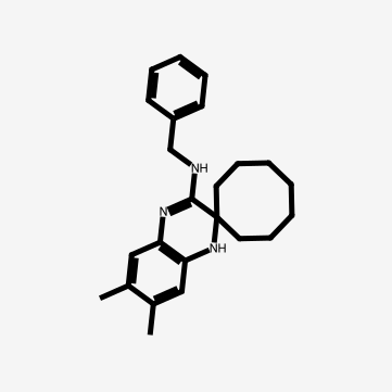 Cc1cc2c(cc1C)NC1(CCCCCCC1)C(NCc1ccccc1)=N2